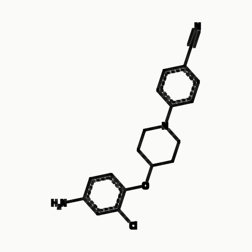 N#Cc1ccc(N2CCC(Oc3ccc(N)cc3Cl)CC2)cc1